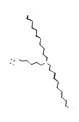 CCCCCCCCCCCN(CCCCCCCCCCC)CCCCCOP(=O)(O)O